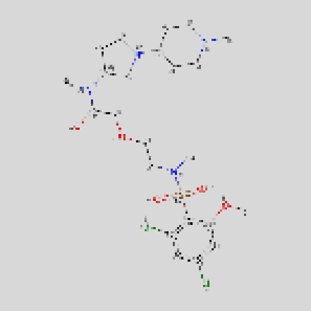 COc1cc(Cl)cc(Cl)c1S(=O)(=O)N(C)CCOCC(=O)N(C)[C@@H]1CCN(C2CCN(C)CC2)C1